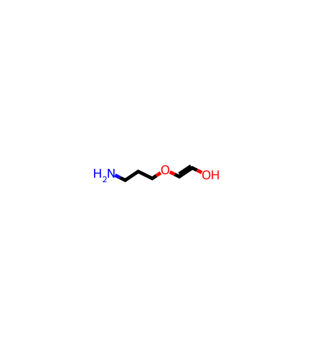 NCCCOC=CO